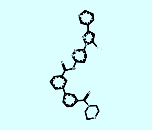 O=C(Nc1ccc(-n2nc(-c3cccnc3)cc2C(F)(F)F)nn1)c1cccc(-c2cccc(C(=O)N3CCOCC3)c2)c1